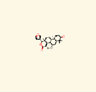 CC(=O)O[C@@H]1CC2C(C)(C)C(=O)C=C[C@]2(C)C2CC[C@]3(C)C(=CC(=O)O[C@H]3c3ccoc3)[C@@]21C